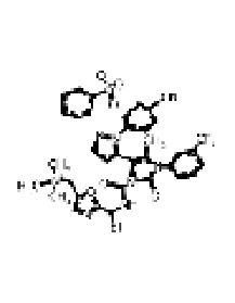 CCC(NC(=O)n1c(-c2ccnn2-c2ccc(C#N)cc2)c(C)n(-c2cccc(C(F)(F)F)c2)c1=O)c1ncc(C[N+](C)(C)C)o1.O=S(=O)([O-])c1ccccc1